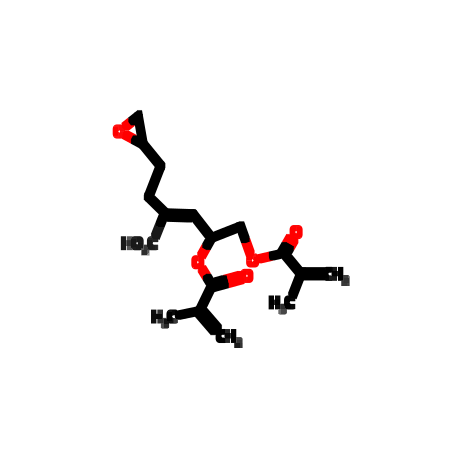 C=C(C)C(=O)OCC(C=C(CCC1CO1)C(=O)O)OC(=O)C(=C)C